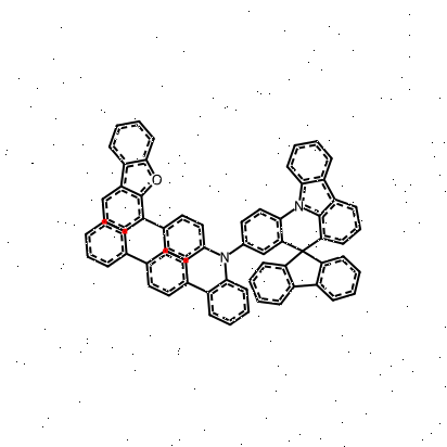 c1ccc(-c2ccc(-c3ccccc3N(c3ccc(-c4cccc5c4oc4ccccc45)cc3)c3ccc4c(c3)C3(c5ccccc5-c5ccccc53)c3cccc5c6ccccc6n-4c35)cc2)cc1